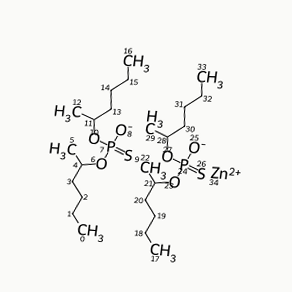 CCCCC(C)OP([O-])(=S)OC(C)CCCC.CCCCC(C)OP([O-])(=S)OC(C)CCCC.[Zn+2]